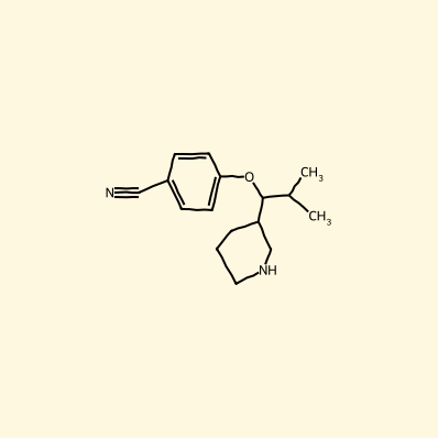 CC(C)C(Oc1ccc(C#N)cc1)C1CCCNC1